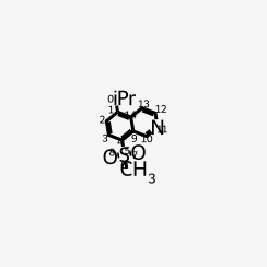 CC(C)c1ccc(S(C)(=O)=O)c2cnccc12